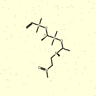 C=C[Si](C)(C)O[C@H](C)[Si](C)(C)OC(C)[Si](C)(C)CC[Si](C)=O